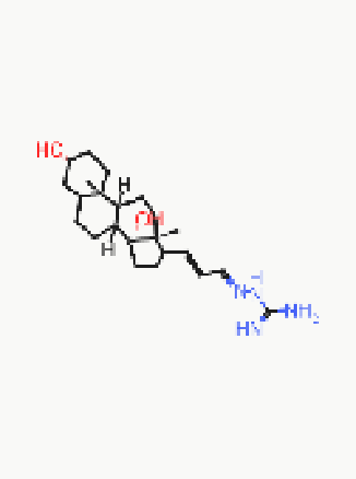 C[C@]12CCC(O)CC1CC[C@@H]1[C@H]2CC[C@]2(C)C(C=CC=NNC(=N)N)CC[C@@]12O